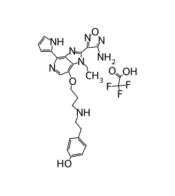 CCn1c(-c2nonc2N)nc2c(-c3ccc[nH]3)ncc(OCCCNCCc3ccc(O)cc3)c21.O=C(O)C(F)(F)F